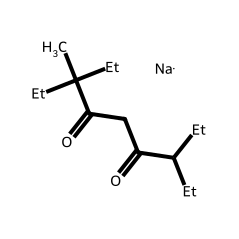 CCC(CC)C(=O)CC(=O)C(C)(CC)CC.[Na]